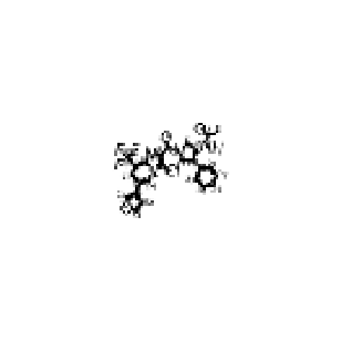 CC(=O)N[C@H]1CN(C(=O)c2nc3c(C(F)(F)F)cc(-c4ccoc4)cn3c2Cl)C[C@@H]1c1ccccc1